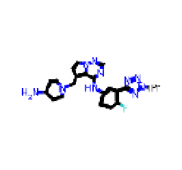 CC(C)n1nnc(-c2cc(Nc3ncnn4ccc(CN5CCC(N)CC5)c34)ccc2F)n1